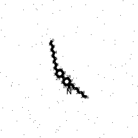 CCCCCCCCCCC1CCC(C2CCC(C#N)(CCCCCCC)CC2)CC1